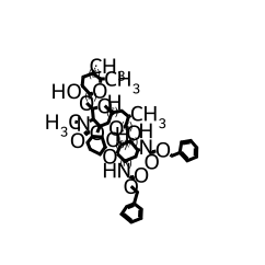 CC1C[C@@H]2OC(O[C@H]3OC(C)[C@@H](C)CC3O)C3C(OC(=O)N3C)C2O[C@@H]1O[C@@H]1C(NC(=O)OCc2ccccc2)C[C@@H](NC(=O)OCc2ccccc2)C2OC3(CCCCC3)O[C@H]21